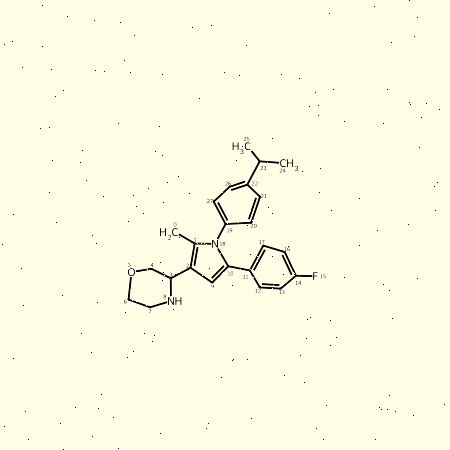 Cc1c(C2COCCN2)cc(-c2ccc(F)cc2)n1-c1ccc(C(C)C)cc1